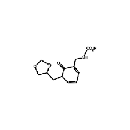 O=C(O)NCC1=CC=CC(CC2COCO2)C1=O